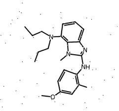 CCCN(CCC)c1cccc2nc(Nc3ccc(OC)cc3C)n(C)c12